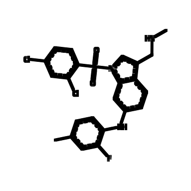 CNCc1cn(S(=O)(=O)c2ccc(Cl)cc2Cl)c2cc(Nc3ccc(C)cc3F)ccc12